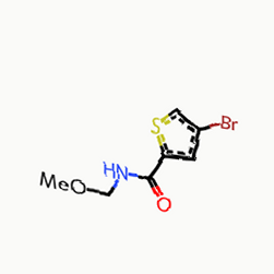 COCNC(=O)c1cc(Br)cs1